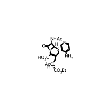 CC(=O)N[C@@H]1C(=O)N2C(C(=O)O)=C(COC(C)=O)CS[C@H]12.CCOC(C)=O.Nc1ccncc1